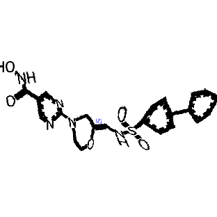 O=C(NO)c1cnc(N2CCO/C(=C\NS(=O)(=O)c3ccc(-c4ccccc4)cc3)C2)nc1